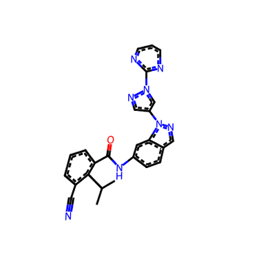 CC(C)c1c(C#N)cccc1C(=O)Nc1ccc2cnn(-c3cnn(-c4ncccn4)c3)c2c1